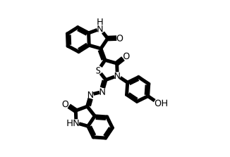 O=C1Nc2ccccc2/C1=N\N=C1/S/C(=C2/C(=O)Nc3ccccc32)C(=O)N1c1ccc(O)cc1